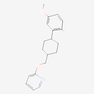 COc1ccc(F)c(C2CCC(COc3ccccn3)CC2)c1